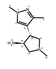 Cc1nn(C)cc1[C@@H]1CN(C)C[C@H]1N